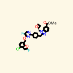 COC(=O)c1ccc2nc(CC3CCC(c4ncc(F)c(OCc5ccc(Cl)c6cc(F)oc56)n4)CC3)n(C[C@@H]3CCO3)c2c1